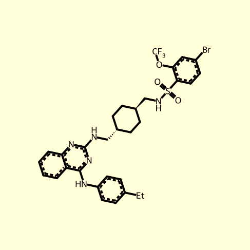 CCc1ccc(Nc2nc(NC[C@H]3CC[C@H](CNS(=O)(=O)c4ccc(Br)cc4OC(F)(F)F)CC3)nc3ccccc23)cc1